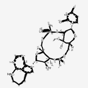 O=c1ccn([C@@H]2O[C@@H]3COP(=O)(S)O[C@H]4[C@@H](O)[C@H](n5cc6c7c(ncnc75)NCCC6)O[C@@H]4COP(=O)(S)O[C@@H]2[C@@H]3O)c(=O)[nH]1